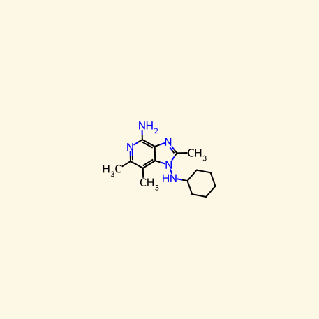 Cc1nc(N)c2nc(C)n(NC3CCCCC3)c2c1C